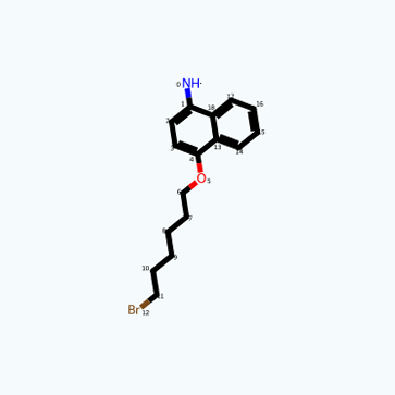 [NH]c1ccc(OCCCCCCBr)c2ccccc12